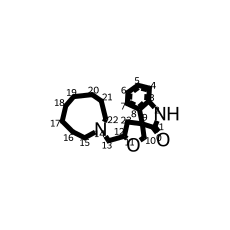 O=C1Nc2ccccc2C12COC(CN1CCCCCCCC1)C2